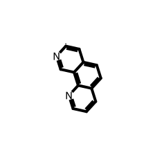 [c]1cc2ccc3cccnc3c2cn1